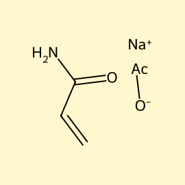 C=CC(N)=O.CC(=O)[O-].[Na+]